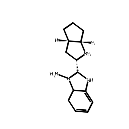 NN1C2CC=CC=C2NC1[C@@H]1C[C@@H]2CCC[C@@H]2N1